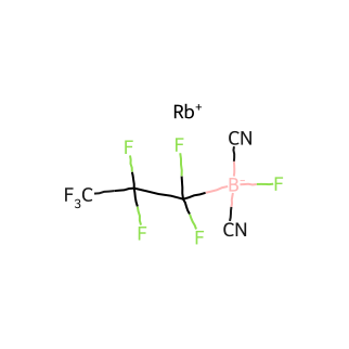 N#C[B-](F)(C#N)C(F)(F)C(F)(F)C(F)(F)F.[Rb+]